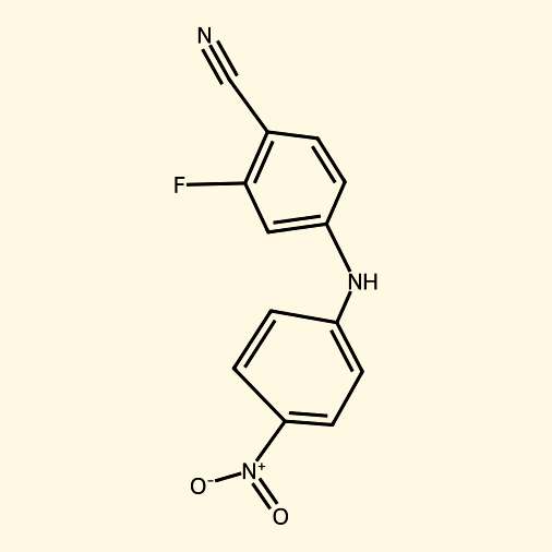 N#Cc1ccc(Nc2ccc([N+](=O)[O-])cc2)cc1F